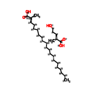 C/C(=C\CCO)C(=O)O.CCCCCCCCCCCCCCCCCC/C=C(\C)C(=O)O